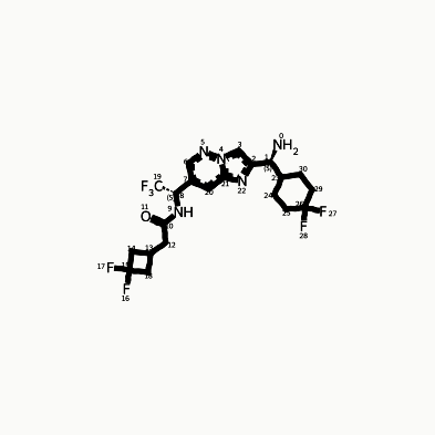 N[C@H](c1cn2ncc([C@H](NC(=O)CC3CC(F)(F)C3)C(F)(F)F)cc2n1)C1CCC(F)(F)CC1